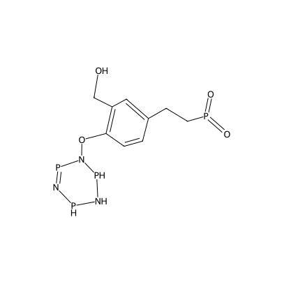 O=P(=O)CCc1ccc(On2pn[pH][nH][pH]2)c(CO)c1